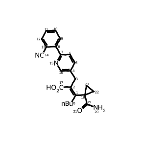 CCCC/C(=C(/Cc1ccc(-c2ccccc2C#N)nc1)C(=O)O)C1(C(N)=O)CC1